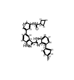 O=C(Nc1cncc(-c2ccc3[nH]nc(-c4nc5c(-c6ccc(F)cc6)cccc5[nH]4)c3c2)c1)C1CCC1